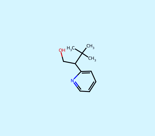 CC(C)(C)C(CO)c1ccccn1